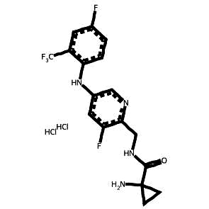 Cl.Cl.NC1(C(=O)NCc2ncc(Nc3ccc(F)cc3C(F)(F)F)cc2F)CC1